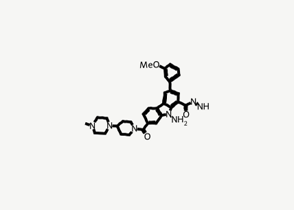 COc1cccc(-c2cc(C(=O)N=N)c3c(c2)c2ccc(C(=O)N4CCC(N5CCN(C)CC5)CC4)cc2n3N)c1